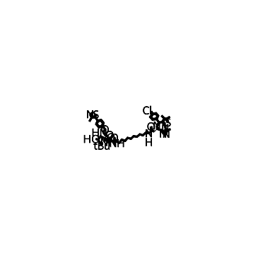 Cc1ncsc1-c1ccc(ONC(=O)[C@@]2(C(=O)C(NC(=O)CCCCCCCCCCNC(=O)C[C@@H]3N=C(c4ccc(Cl)cc4)c4c(sc(C)c4C)-n4c(C)nnc43)C(C)(C)C)CC(O)CN2)cc1